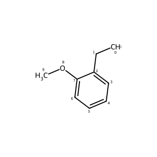 [CH]Cc1ccccc1OC